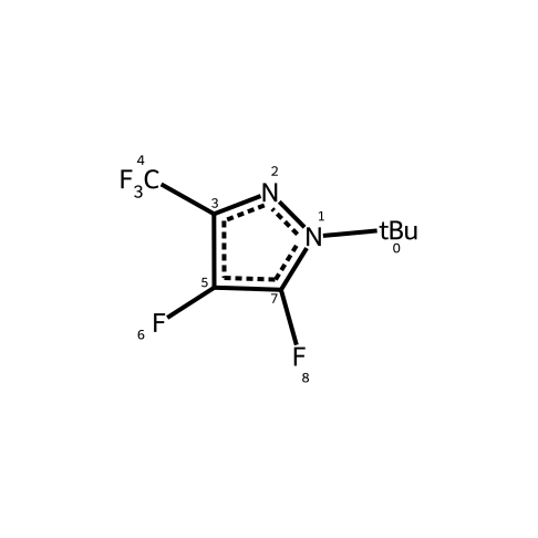 CC(C)(C)n1nc(C(F)(F)F)c(F)c1F